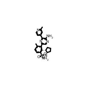 Cc1cc(-c2nc(-c3c(C)ccc(S(N)(=O)=O)c3[C@@H]3CCC[C@@H]3N)cnc2N)ccn1